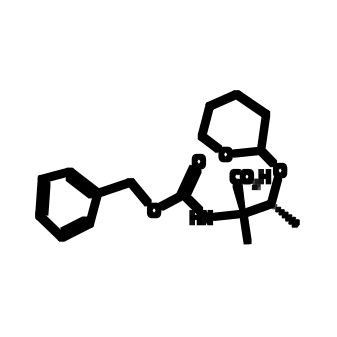 C[C@@H](OC1CCCCO1)[C@](C)(NC(=O)OCc1ccccc1)C(=O)O